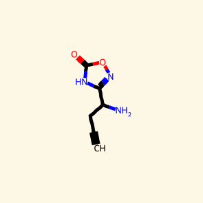 C#CCC(N)c1noc(=O)[nH]1